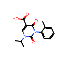 Cc1ccccc1-n1c(=O)c(C(=O)O)cn(C(C)C)c1=O